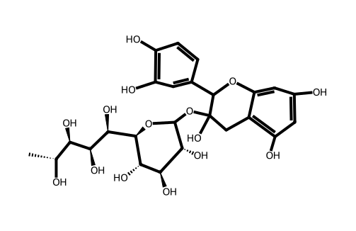 C[C@@H](O)[C@@H](O)[C@H](O)[C@@H](O)[C@H]1OC(OC2(O)Cc3c(O)cc(O)cc3OC2c2ccc(O)c(O)c2)[C@H](O)[C@@H](O)[C@@H]1O